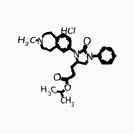 CC(C)OC(=O)CCC1CN(c2ccccc2)C(=O)N1c1ccc2c(c1)CCN(C)CC2.Cl